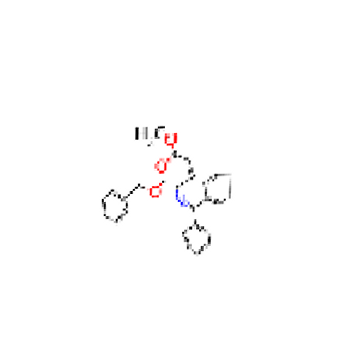 COC(=O)/C=C\[C@@H](COCc1ccccc1)N=C(c1ccccc1)c1ccccc1